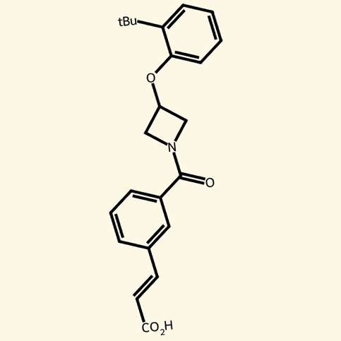 CC(C)(C)c1ccccc1OC1CN(C(=O)c2cccc(C=CC(=O)O)c2)C1